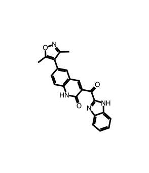 Cc1noc(C)c1-c1ccc2[nH]c(=O)c(C(=O)c3nc4ccccc4[nH]3)cc2c1